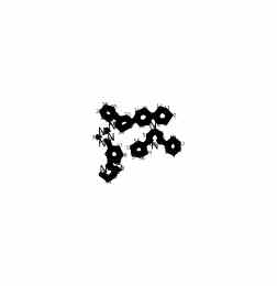 c1ccc(-c2cc(-n3c4ccccc4c4ccc(-c5ccc6c(c5)c5ccccc5n6-c5ncnc(-c6ccc7oc8cccnc8c7c6)n5)cc43)cc(-c3ccccc3)n2)cc1